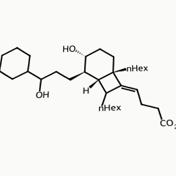 CCCCCCC1C(=CCCC(=O)O)[C@@]2(CCCCCC)CC[C@@H](O)[C@H](CCC(O)C3CCCCC3)[C@@H]12